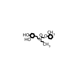 CCCN(CCc1ccc(O)c(O)c1)C(=O)COc1ccccc1C